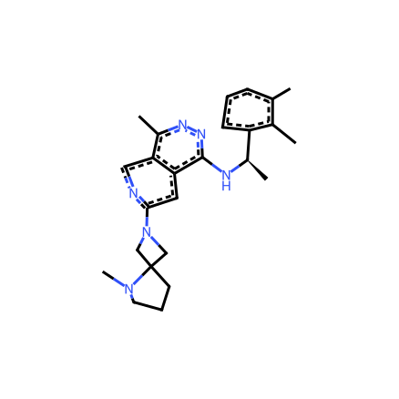 Cc1cccc([C@@H](C)Nc2nnc(C)c3cnc(N4CC5(CCCN5C)C4)cc23)c1C